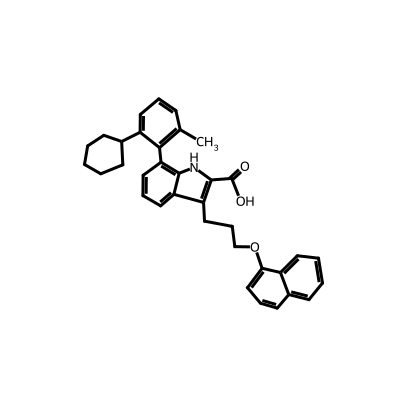 Cc1cccc(C2CCCCC2)c1-c1cccc2c(CCCOc3cccc4ccccc34)c(C(=O)O)[nH]c12